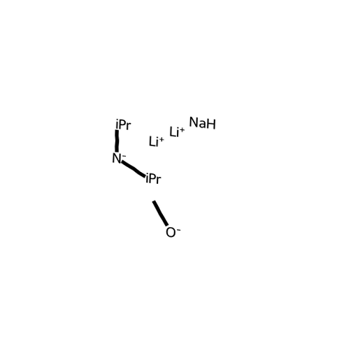 CC(C)[N-]C(C)C.C[O-].[Li+].[Li+].[NaH]